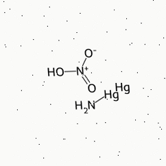 O=[N+]([O-])O.[Hg].[NH2][Hg]